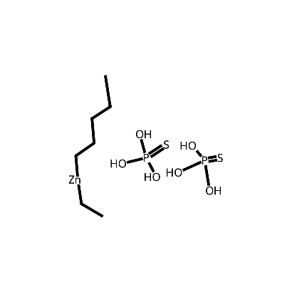 CCCC[CH2][Zn][CH2]C.OP(O)(O)=S.OP(O)(O)=S